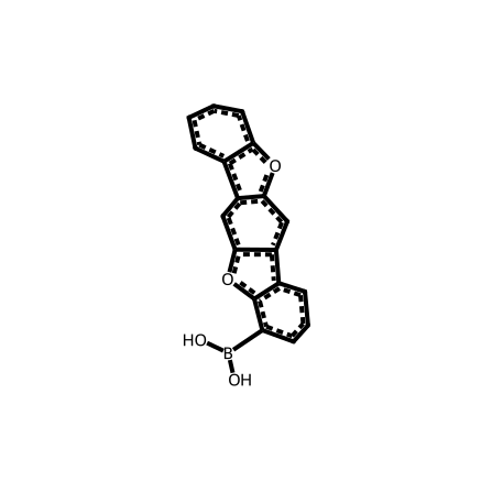 OB(O)c1cccc2c1oc1cc3c(cc12)oc1ccccc13